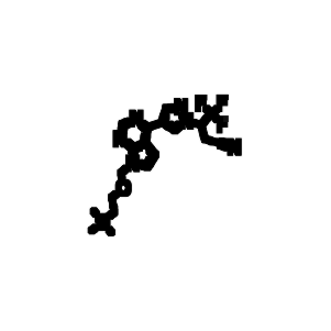 C[Si](C)(C)CCOCn1ccc2c(-c3cnn(C(CC#N)C(F)(F)F)c3)ncnc21